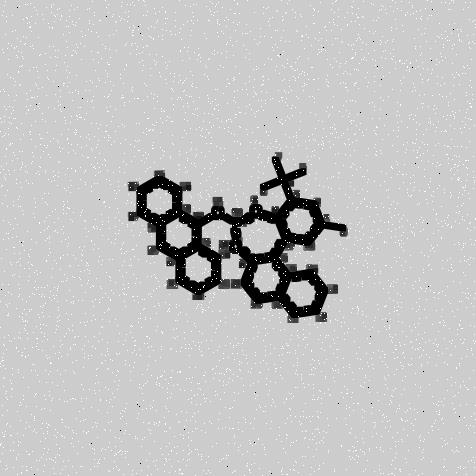 Cc1cc(C(C)(C)C)c2op(Oc3c4ccccc4cc4ccccc34)oc3ccc4ccccc4c3c2c1